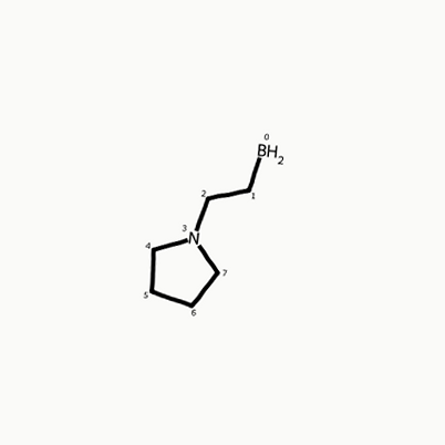 BCCN1CCCC1